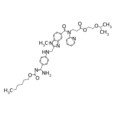 CCCCCCOC(=O)/N=C(\N)c1ccc(NCc2nc3cc(C(=O)N(CCC(=O)OCCOC(C)C)c4ccccn4)ccc3n2C)cc1